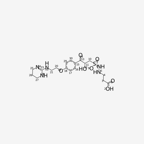 O=C(O)CCNNS(=O)(=O)CC(O)C(=O)c1ccc(OCCNC2=NCCCN2)cc1